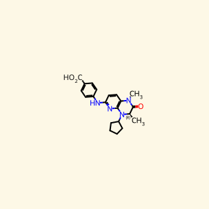 C[C@@H]1C(=O)N(C)c2ccc(Nc3ccc(C(=O)O)cc3)nc2N1C1CCCC1